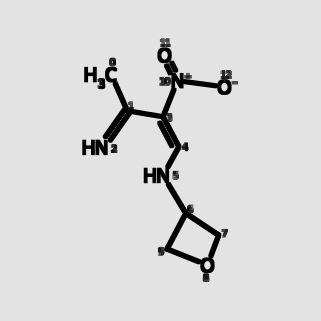 CC(=N)/C(=C\NC1COC1)[N+](=O)[O-]